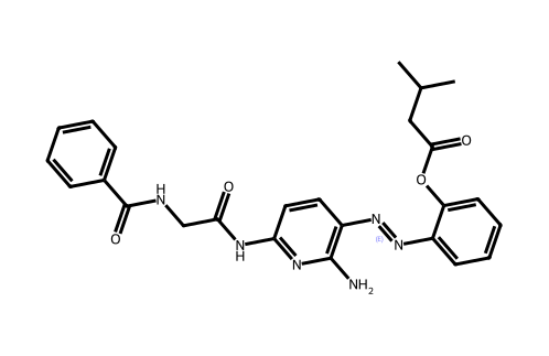 CC(C)CC(=O)Oc1ccccc1/N=N/c1ccc(NC(=O)CNC(=O)c2ccccc2)nc1N